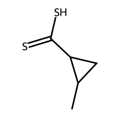 CC1CC1C(=S)S